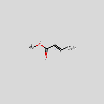 CCOC(=O)/C=C/C(=O)OC(C)CC